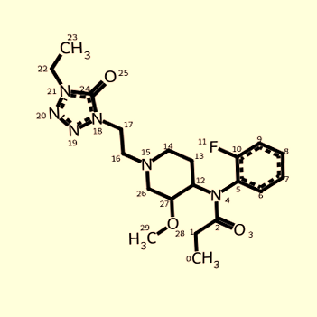 CCC(=O)N(c1ccccc1F)C1CCN(CCn2nnn(CC)c2=O)CC1OC